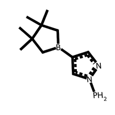 CC1(C)CB(c2cnn(P)c2)CC1(C)C